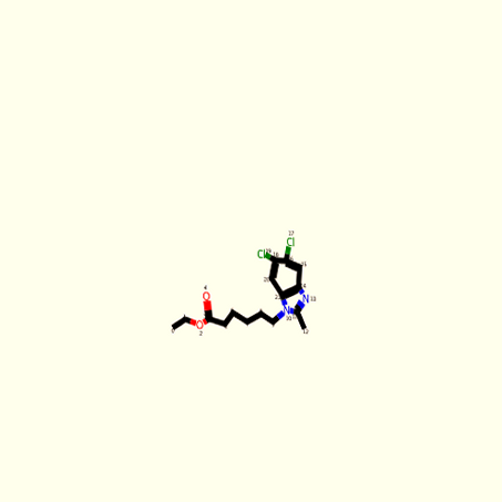 CCOC(=O)CCCCCn1c(C)nc2cc(Cl)c(Cl)cc21